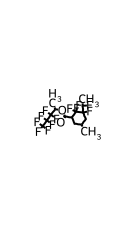 CC1CC(C(=O)OC(C)C(F)(F)C(F)(F)C(F)(F)F)C(F)(F)C(F)(C(C)(F)F)C1